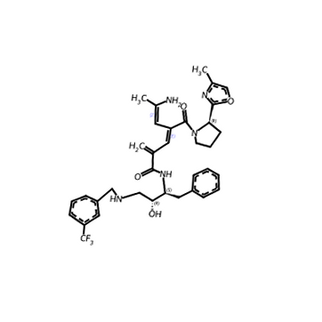 C=C(/C=C(\C=C(\C)N)C(=O)N1CCC[C@@H]1c1nc(C)co1)C(=O)N[C@@H](Cc1ccccc1)[C@H](O)CNCc1cccc(C(F)(F)F)c1